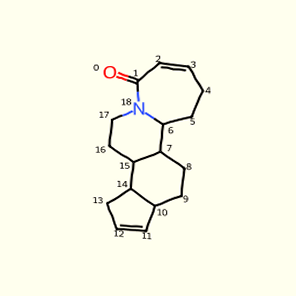 O=C1C=CCCC2C3CCC4C=CCC4C3CCN12